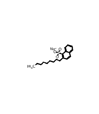 CCCCCCCCCc1ccc2ccccc2c1S(=O)(=O)[O-].[Na+]